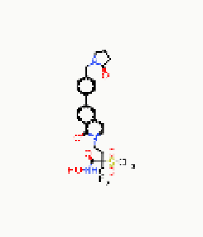 CC(CCn1ccc2cc(-c3ccc(CN4CCCC4=O)cc3)ccc2c1=O)(C(=O)NO)S(C)(=O)=O